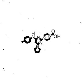 Cc1ccc(Nc2cc(N3CCCC3)nc(N3CCN(C(=O)O)CC3)n2)cc1